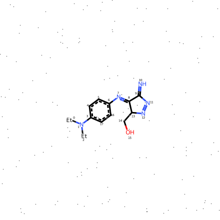 CCN(CC)c1ccc(N=C2C(=N)N=NC2CO)cc1